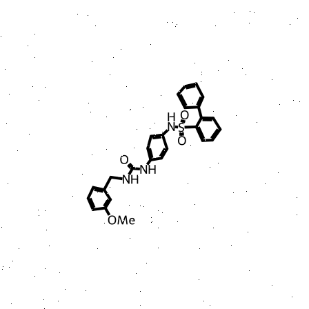 COc1cccc(CNC(=O)Nc2ccc(NS(=O)(=O)c3ccccc3-c3ccccc3)cc2)c1